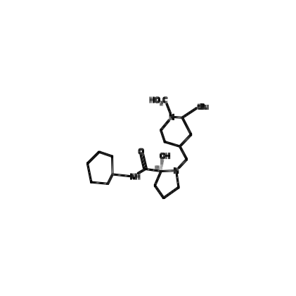 CC(C)(C)C1CC(CN2CCC[C@@]2(O)C(=O)NC2CCCCC2)CCN1C(=O)O